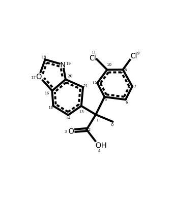 CC(C(=O)O)(c1ccc(Cl)c(Cl)c1)c1ccc2ocnc2c1